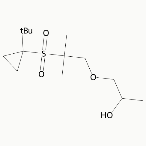 CC(O)COCC(C)(C)S(=O)(=O)C1(C(C)(C)C)CC1